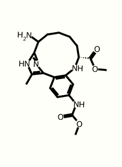 COC(=O)Nc1ccc2c(c1)N[C@@H](C(=O)OC)CCCCC(N)c1nc-2c(C)[nH]1